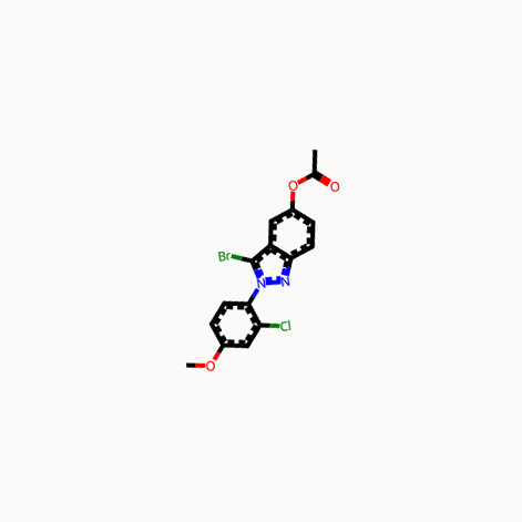 COc1ccc(-n2nc3ccc(OC(C)=O)cc3c2Br)c(Cl)c1